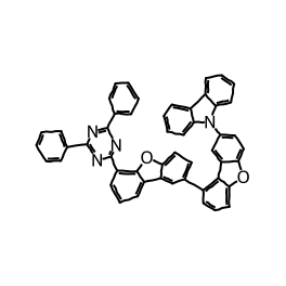 c1ccc(-c2nc(-c3ccccc3)nc(-c3cccc4c3oc3ccc(-c5cccc6oc7ccc(-n8c9ccccc9c9ccccc98)cc7c56)cc34)n2)cc1